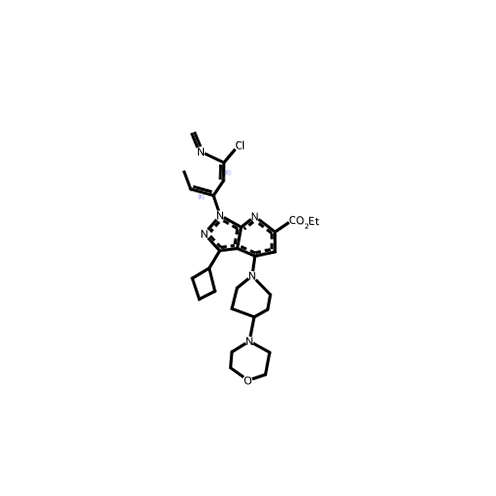 C=N/C(Cl)=C\C(=C/C)n1nc(C2CCC2)c2c(N3CCC(N4CCOCC4)CC3)cc(C(=O)OCC)nc21